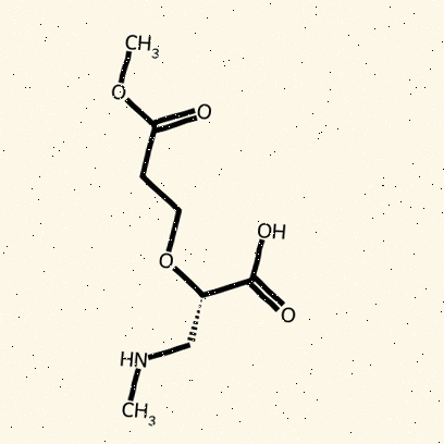 CNC[C@H](OCCC(=O)OC)C(=O)O